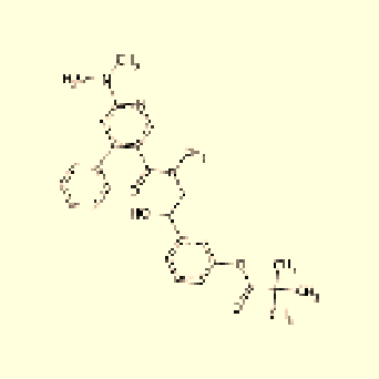 CN(CC(O)c1cccc(OC(=O)C(C)(C)C)c1)C(=O)c1cnc(N(C)C)nc1-c1ccccc1